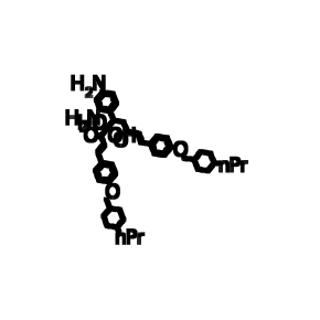 CCCC1CCC(COc2ccc(/C=C/C(=O)CC(c3ccc(N)cc3N)C(O)(O)C(=O)/C=C/c3ccc(OCC4CCC(CCC)CC4)cc3)cc2)CC1